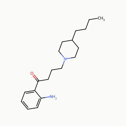 CCCCC1CCN(CCCC(=O)c2ccccc2N)CC1